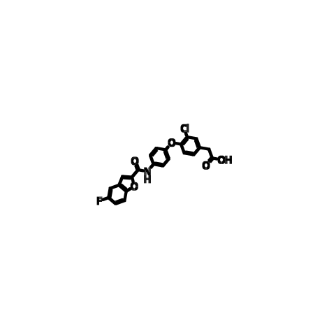 O=C(O)Cc1ccc(Oc2ccc(NC(=O)c3cc4cc(F)ccc4o3)cc2)c(Cl)c1